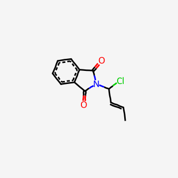 CC=CC(Cl)N1C(=O)c2ccccc2C1=O